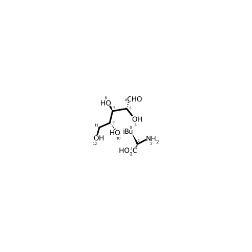 CC[C@H](C)[C@H](N)C(=O)O.O=C[C@H](O)[C@H](O)[C@H](O)CO